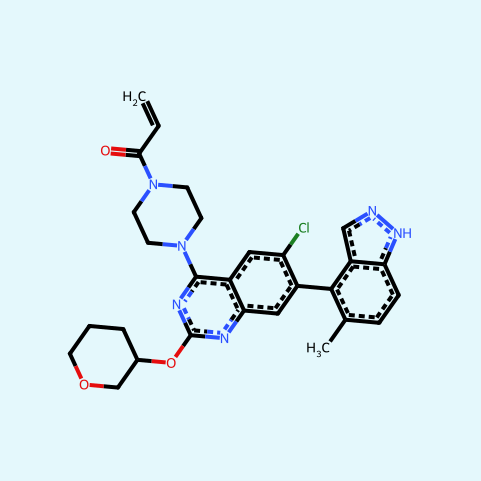 C=CC(=O)N1CCN(c2nc(OC3CCCOC3)nc3cc(-c4c(C)ccc5[nH]ncc45)c(Cl)cc23)CC1